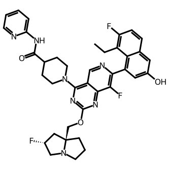 CCc1c(F)ccc2cc(O)cc(-c3ncc4c(N5CCC(C(=O)Nc6ccccn6)CC5)nc(OC[C@@]56CCCN5C[C@H](F)C6)nc4c3F)c12